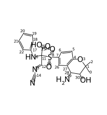 CC1(C)Oc2ccc(S(=O)(=O)C(C=NC#N)(Nc3ccccc3)C(=O)O)cc2C(N)C1O